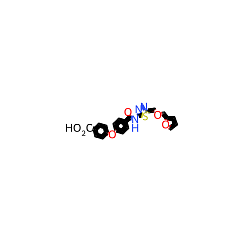 O=C(Nc1nnc(COCC2CCCO2)s1)c1ccc(OC2CCC(C(=O)O)CC2)cc1